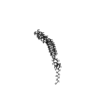 CCCCCCCCc1cnc(-c2ccc(OCC(F)(F)C(F)(F)C(F)(F)C(F)(F)C(F)(F)C(F)(F)C(F)(F)OC(F)(F)C(F)(F)OC(F)(F)C(F)(F)OC(F)(F)F)cc2)nc1